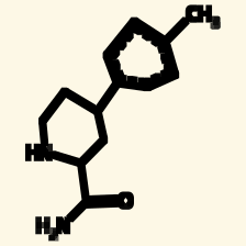 Cc1ccc(C2CCNC(C(N)=O)C2)cc1